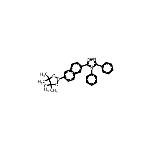 CC1(C)OB(c2ccc3cc(-c4nnc(-c5ccccc5)n4-c4ccccc4)ccc3c2)OC1(C)C